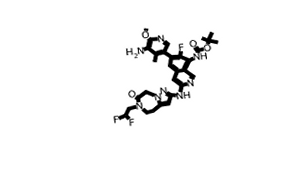 COc1ncc(-c2cc3cc(Nc4cc5n(n4)CC(=O)N(CC(F)F)CC5)ncc3c(NC(=O)OC(C)(C)C)c2F)c(C)c1N